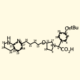 CC(C)(C)Oc1ccc(C(C(=O)O)N2CCC(OCCCCc3ccc4c(n3)NCCC4)C2)cc1